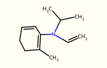 C=CN(C1=C(C)CCC=C1)C(C)C